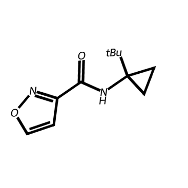 CC(C)(C)C1(NC(=O)c2ccon2)CC1